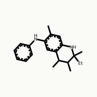 CCC1(C)Nc2cc(C)c(Nc3ccccc3)cc2C(C)C1C